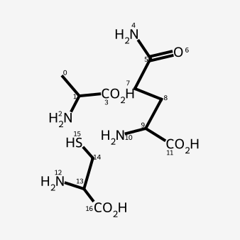 CC(N)C(=O)O.NC(=O)CCC(N)C(=O)O.NC(CS)C(=O)O